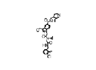 O=Cc1cn(CC(=O)N(CC(=O)NCc2cccc(Cl)c2F)C2CC2)c2ccc(C(=O)NCc3ccncc3)cc12